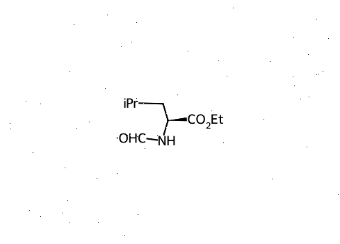 CCOC(=O)[C@H](CC(C)C)N[C]=O